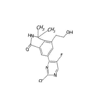 CC1(C)NC(=O)c2cc(-c3nc(Cl)ncc3F)cc(CCO)c21